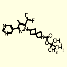 CC(C)(C)OC(=O)N1CC2(CC(n3nc(-c4cncnc4)c(I)c3C(F)F)C2)C1